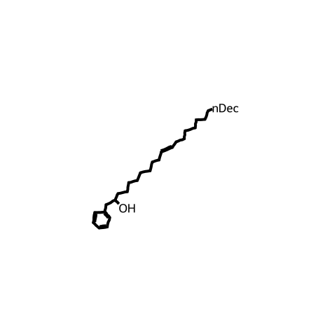 CCCCCCCCCCCCCCCCCC=CCCCCCCCCC(O)Cc1ccccc1